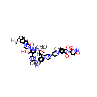 COc1ncc(-c2ccnc(N3CCn4c(cc5c4CC(C)(C)C5)C3=O)c2CO)nc1Nc1ccc(N2CCN(C3CCN(c4ccc5c(c4)C(=O)N(C4CCC(=O)NC4=O)C5=O)[C@H](C)C3)C[C@@H]2C)c(C=CC(=O)NC=O)c1